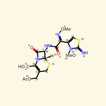 CON=C(C(=O)N[C@@H]1C(=O)N2C(C(=O)O)=C(COC(C)=O)CS[C@@H]12)c1csc(=N)n1OC